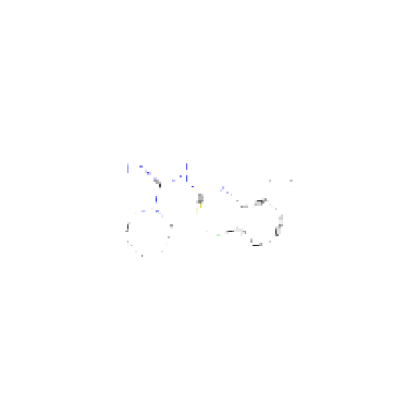 Cc1cccc(Cl)c1NC(=S)NC(=N)N1CCCCC1